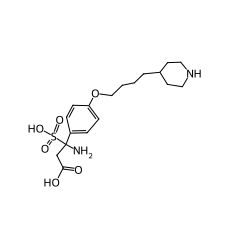 NC(CC(=O)O)(c1ccc(OCCCCC2CCNCC2)cc1)S(=O)(=O)O